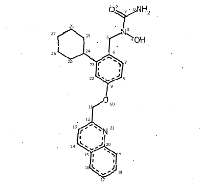 NC(=O)N(O)Cc1ccc(OCc2ccc3ccccc3n2)cc1C1CCCCC1